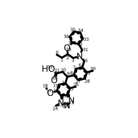 CCC1CN(Cc2cc(C(CC(=O)O)c3cc(OC)c4c(nnn4C)c3C)ccc2C)Cc2ccccc2O1